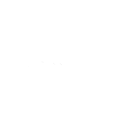 Cc1ccc(NC(=S)NN=Cc2ccc(Cl)cc2)c(C)c1